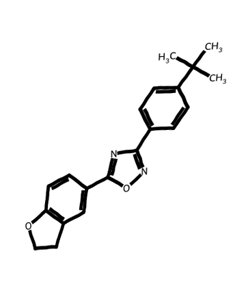 CC(C)(C)c1ccc(-c2noc(-c3ccc4c(c3)CCO4)n2)cc1